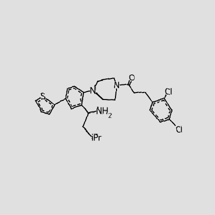 CC(C)CC(N)c1cc(-c2cccs2)ccc1N1CCN(C(=O)CCc2ccc(Cl)cc2Cl)CC1